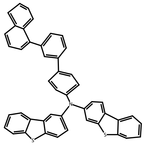 c1cc(-c2ccc(N(c3ccc4c(c3)sc3ccccc34)c3ccc4sc5ccccc5c4c3)cc2)cc(-c2cccc3ccccc23)c1